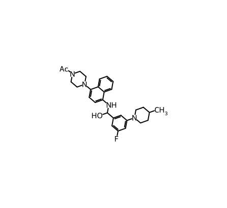 CC(=O)N1CCN(c2ccc(NC(O)c3cc(F)cc(N4CCC(C)CC4)c3)c3ccccc23)CC1